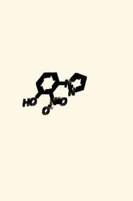 O=[N+]([O-])c1c(O)cccc1-n1cccn1